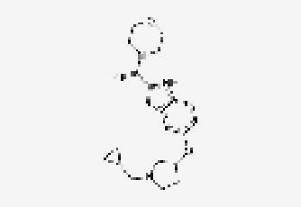 O=C(c1cc2cc(OC3CCN(CC4CC4)C3)ccc2[nH]1)N1CCOCC1